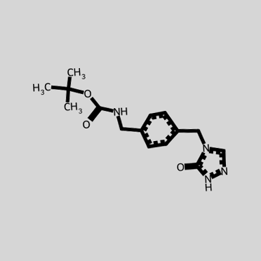 CC(C)(C)OC(=O)NCc1ccc(Cn2cn[nH]c2=O)cc1